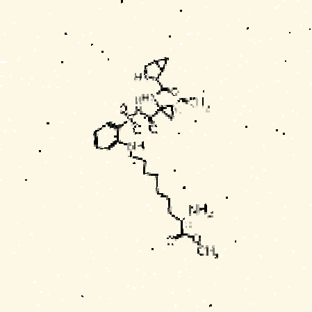 C=C[C@@H]1C[C@]1(NC(=O)C1NCC2CC21)C(=O)NS(=O)(=O)c1ccccc1NCCCCCCC[C@H](N)C(=O)OC